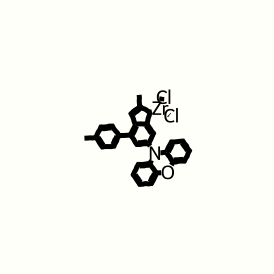 CC1=Cc2c(-c3ccc(C)cc3)cc(N3c4ccccc4Oc4ccccc43)cc2[CH]1[Zr]([Cl])[Cl]